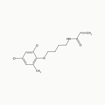 C=CC(=O)NCCCCOc1c(C)cc(Cl)cc1Cl